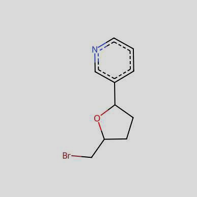 BrCC1CCC(c2cccnc2)O1